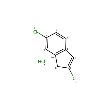 Cl.ClC1=Cc2ccc(Cl)cc2C1